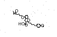 COc1ccc(CCCCCCC(CC2=C(OCCCCC(=O)N(C)C)C=CCC2=O)C(=O)O)cc1